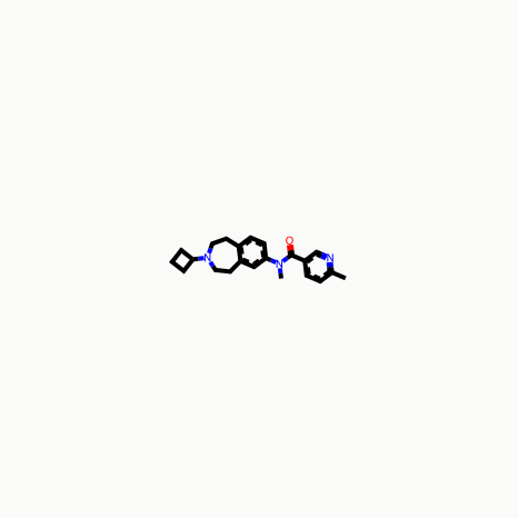 Cc1ccc(C(=O)N(C)c2ccc3c(c2)CCN(C2CCC2)CC3)cn1